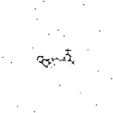 Cn1c(CCc2nc(C(F)(F)F)cc(C(F)(F)F)n2)nc2c3cccnc3ccc21